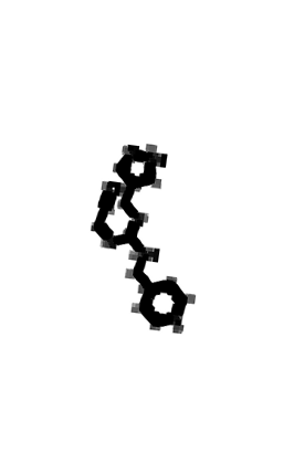 C#C/C=N\C(=N/Cc1cn[nH]c1)NCc1ccncc1